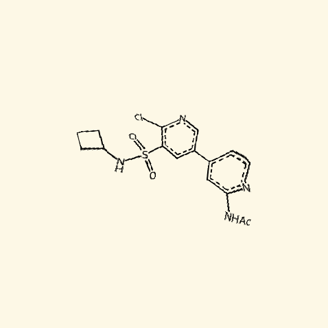 CC(=O)Nc1cc(-c2cnc(Cl)c(S(=O)(=O)NC3CCC3)c2)ccn1